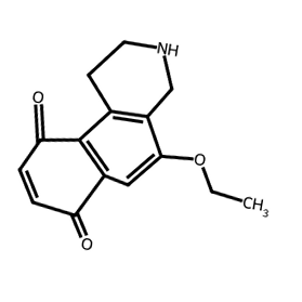 CCOc1cc2c(c3c1CNCC3)C(=O)C=CC2=O